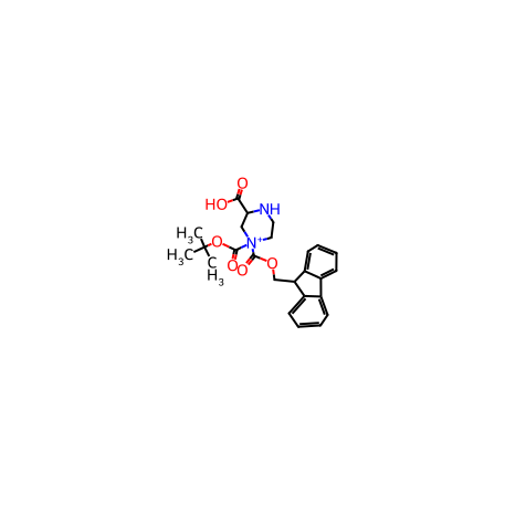 CC(C)(C)OC(=O)[N+]1(C(=O)OCC2c3ccccc3-c3ccccc32)CCNC(C(=O)O)C1